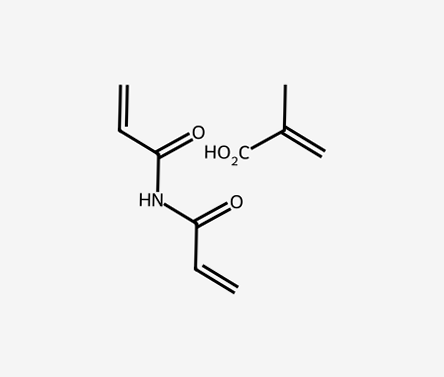 C=C(C)C(=O)O.C=CC(=O)NC(=O)C=C